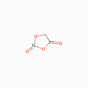 O=C1C[O][Ti](=[O])[O]1